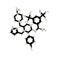 C[C@@H](O[C@H]1OCC(CN2CCN(C)CC2)N(Cc2ccsn2)[C@H]1c1ccc(F)cc1)c1cc(C(F)(F)F)cc(C(F)(F)F)c1